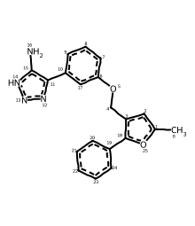 Cc1cc(COc2cccc(-c3nn[nH]c3N)c2)c(-c2ccccc2)o1